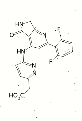 O=C(O)Cc1ccc(Nc2cc(-c3c(F)cccc3F)nc3c2C(=O)NC3)nn1